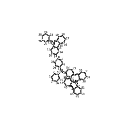 c1ccc(N(c2ccc(-c3ccc4c(c3)c3ccccc3n4-c3ccccc3)cc2)c2ccc(-c3ccccc3-n3c4ccccc4c4ccccc43)cc2)cc1